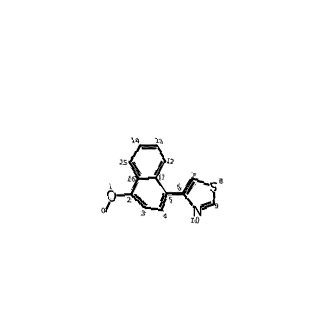 COc1ccc(-c2cscn2)c2ccccc12